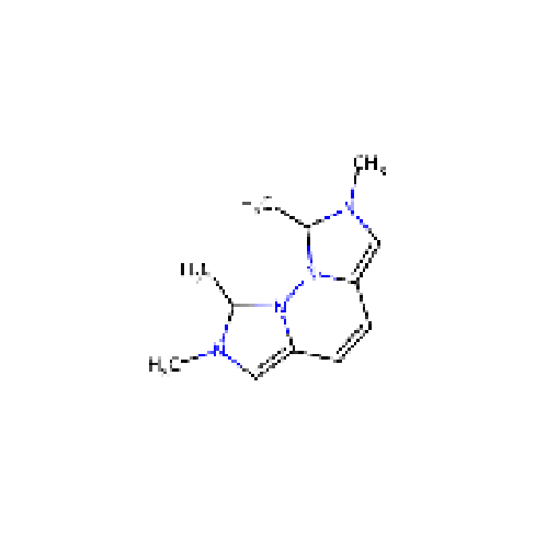 CC1N(C)C=C2C=CC3=CN(C)C(C)N3N21